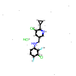 Cl.Fc1ccc(NCc2cnc(C3CC3)c(Cl)c2)c(F)c1Cl